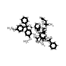 COc1ccc(C(OC[C@]23COC(C2OP(CC(=O)OC(C)(C)CC#N)N(C(C)C)C(C)C)[C@H](n2cc(C)c(NC(=O)c4ccccc4)nc2=O)O3)(c2ccccc2)c2ccc(OC)cc2)cc1